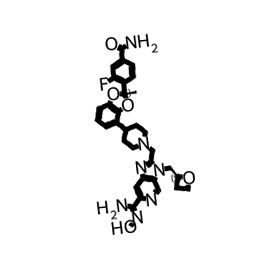 C[C@]1(c2ccc(C(N)=O)cc2F)Oc2cccc(C3CCN(Cc4nc5cc(C(N)=NO)ncc5n4C[C@@H]4CCO4)CC3)c2O1